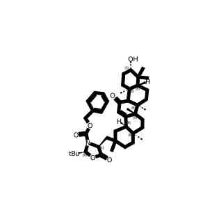 CC1(C[C@H]2C(=O)O[C@H](C(C)(C)C)N2C(=O)OCc2ccccc2)CC[C@]2(C)CC[C@]3(C)C(=CC(=O)C4[C@@]5(C)CC[C@H](O)C(C)(C)[C@@H]5CC[C@]43C)[C@@H]2C1